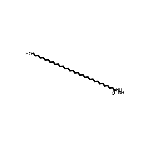 O=C(CCCCCCCCCCCCCCCCCCCCCCCCCCCCCCCCCO)NO